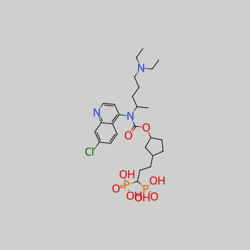 CCN(CC)CCCC(C)N(C(=O)OC1CCC(CCC(P(=O)(O)O)P(=O)(O)O)C1)c1ccnc2cc(Cl)ccc12